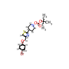 CC(C)(C)OC(=O)ON1CCC(c2nc(COc3ccc(Br)cc3)cs2)CC1